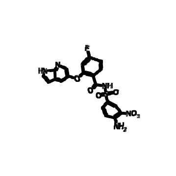 Nc1ccc(S(=O)(=O)NC(=O)c2ccc(F)cc2Oc2cnc3[nH]ccc3c2)cc1[N+](=O)[O-]